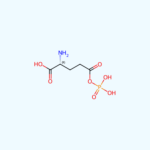 N[C@H](CCC(=O)OP(=O)(O)O)C(=O)O